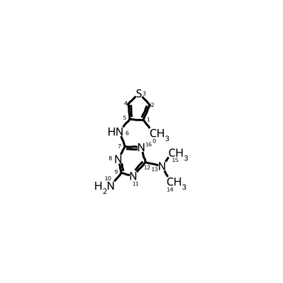 Cc1cscc1Nc1nc(N)nc(N(C)C)n1